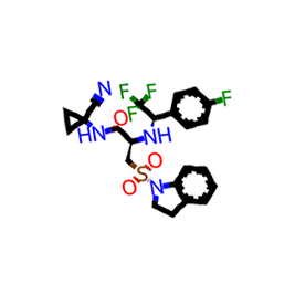 N#CC1(NC(=O)[C@H](CS(=O)(=O)N2CCc3ccccc32)N[C@@H](c2ccc(F)cc2)C(F)(F)F)CC1